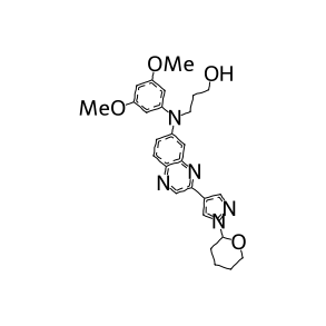 COc1cc(OC)cc(N(CCCO)c2ccc3ncc(-c4cnn(C5CCCCO5)c4)nc3c2)c1